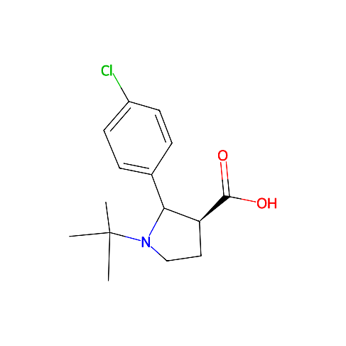 CC(C)(C)N1CC[C@H](C(=O)O)C1c1ccc(Cl)cc1